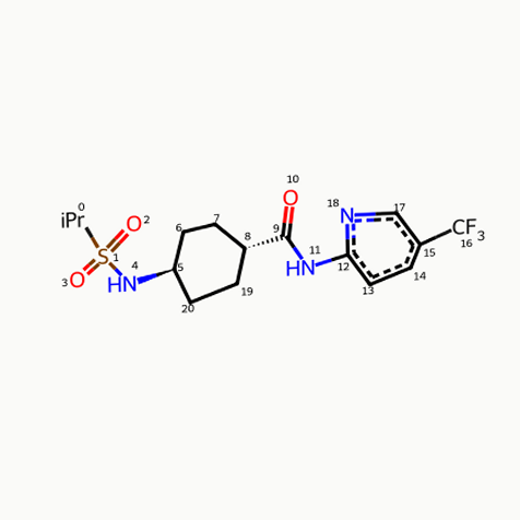 CC(C)S(=O)(=O)N[C@H]1CC[C@H](C(=O)Nc2ccc(C(F)(F)F)cn2)CC1